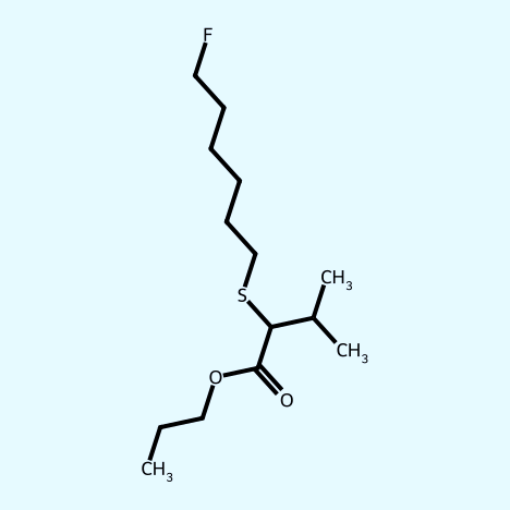 CCCOC(=O)C(SCCCCCCF)C(C)C